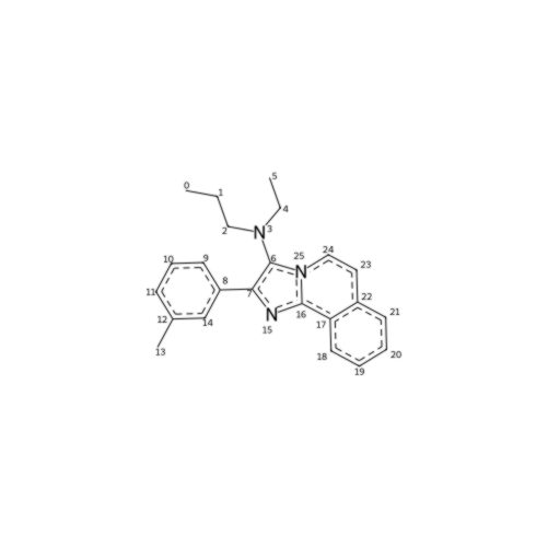 CCCN(CC)c1c(-c2cccc(C)c2)nc2c3ccccc3ccn12